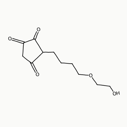 O=C1CC(=O)C(CCCCOCCO)C1=O